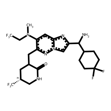 CN(CC(F)(F)F)c1cc2nc(C(N)C3CCC(F)(F)CC3)cn2nc1CC1C[C@@H](C(F)(F)F)CNC1=O